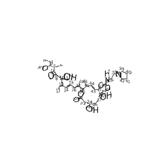 CCC(OC)C(C)C1OC1C(O)C(C)/C=C/C=C(\C)C1OC(=O)CC(O)CCC(C)(O)C(OC(=O)NCCN2CCCC2)/C=C/C1C